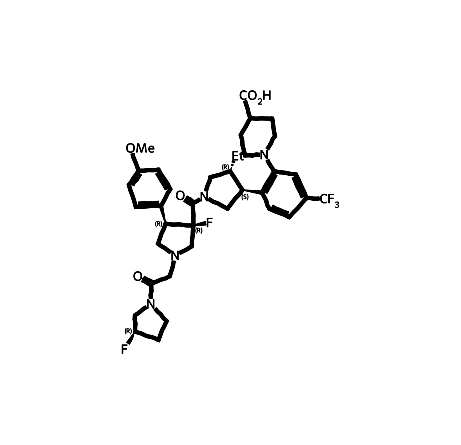 CC[C@H]1CN(C(=O)[C@]2(F)CN(CC(=O)N3CC[C@@H](F)C3)C[C@H]2c2ccc(OC)cc2)C[C@@H]1c1ccc(C(F)(F)F)cc1N1CCC(C(=O)O)CC1